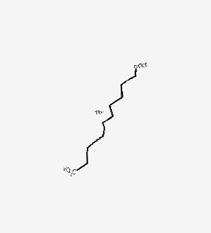 CCCCCCCCCCCCCCCCCC(=O)O.[Tb]